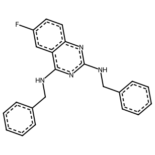 Fc1ccc2nc(NCc3ccccc3)nc(NCc3ccccc3)c2c1